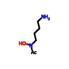 CC(=O)N(O)CCCCN